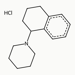 Cl.c1ccc2c(c1)CCCC2N1CCCCC1